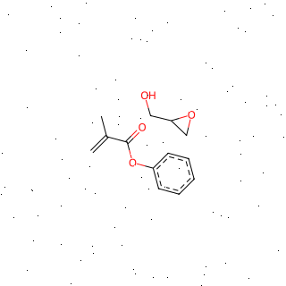 C=C(C)C(=O)Oc1ccccc1.OCC1CO1